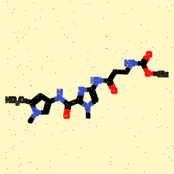 Cn1cc(NC(=O)c2nc(NC(=O)CCNC(=O)OC(C)(C)C)cn2C)cc1C(=O)O